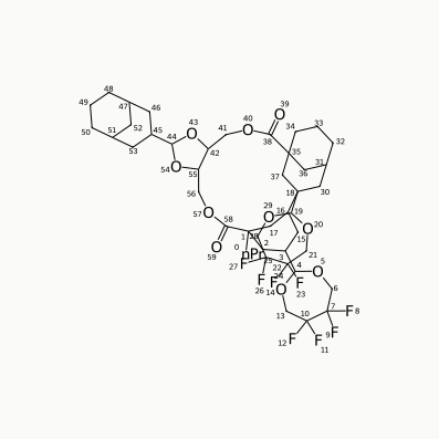 CCCC12CC(C3OCC(F)(F)C(F)(F)CO3)CC(C1)C1(C3OCC(F)(F)C(F)(F)CO3)CC3CCCC(C3)(C1)C(=O)OCC1OC(C3CC4CCCC(C4)C3)OC1COC2=O